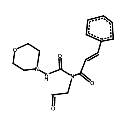 O=[C]CN(C(=O)C=Cc1ccccc1)C(=O)NN1CCOCC1